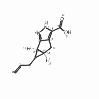 C=CCC1[C@H]2c3n[nH]c(C(=O)O)c3C[C@@H]12